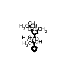 C=CCC(CC(=O)OC(C)(C)C)C(=O)N(C)[C@@H](C)[C@H](O)c1ccccc1